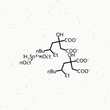 CCCCC(CC)CC(O)(CC(=O)[O-])C(=O)[O-].CCCCC(CC)CC(O)(CC(=O)[O-])C(=O)[O-].CCCCCCC[CH2][SnH2+4][CH2]CCCCCCC